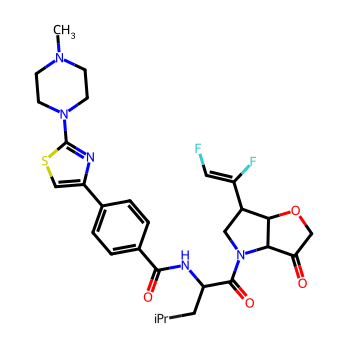 CC(C)CC(NC(=O)c1ccc(-c2csc(N3CCN(C)CC3)n2)cc1)C(=O)N1CC(/C(F)=C/F)C2OCC(=O)C21